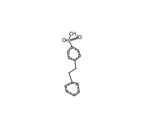 CS(=O)(=O)c1ccc([CH]Cc2ccccc2)cc1